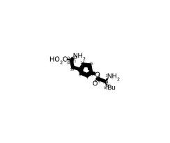 CC[C@H](C)[C@H](N)C(=O)Oc1ccc(C[C@H](N)C(=O)O)cc1